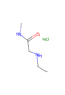 CCNCC(=O)NC.Cl